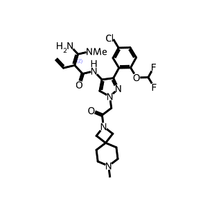 C=C/C(C(=O)Nc1cn(CC(=O)N2CC3(CCN(C)CC3)C2)nc1-c1cc(Cl)ccc1OC(F)F)=C(\N)NC